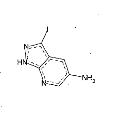 Nc1cnc2[nH]nc(I)c2c1